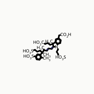 C=C(/C=C/C=C1/N(CCCS(=O)(=O)O)c2ccc(CC(=O)O)cc2C1(C)CCCC(=O)O)C(C)(CCCS(=O)(=O)O)c1cc(S(=O)(=O)O)ccc1C